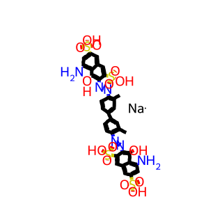 Cc1cc(-c2ccc(/N=N/c3c(S(=O)(=O)O)cc4cc(S(=O)(=O)O)cc(N)c4c3O)c(C)c2)ccc1/N=N/c1c(S(=O)(=O)O)cc2cc(S(=O)(=O)O)cc(N)c2c1O.[Na]